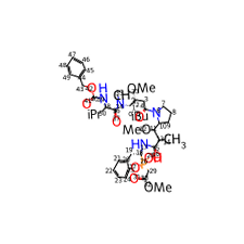 CC[C@H](C)[C@@H]([C@@H](CC(=O)N1CCCC1[C@H](OC)[C@@H](C)C(=O)N[C@@H](Cc1ccccc1)P(=O)(O)CC(=O)OC)OC)N(C)C(=O)C(NC(=O)OCc1ccccc1)C(C)C